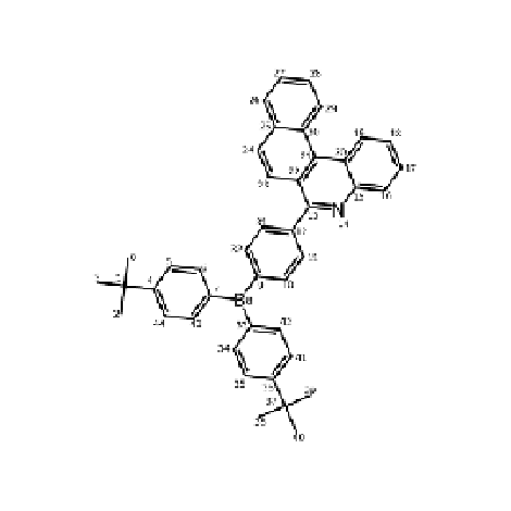 CC(C)(C)c1ccc(B(c2ccc(-c3nc4ccccc4c4c3ccc3ccccc34)cc2)c2ccc(C(C)(C)C)cc2)cc1